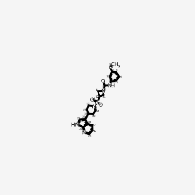 COc1cccc(NC(=O)N2CC(S(=O)(=O)N3CCC(c4c[nH]c5ncccc45)CC3)C2)c1